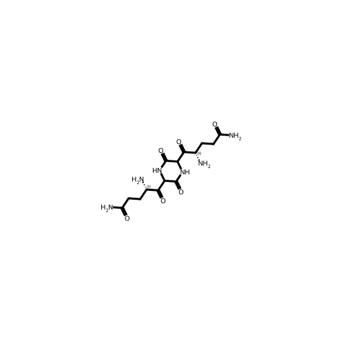 NC(=O)CC[C@H](N)C(=O)C1NC(=O)C(C(=O)[C@@H](N)CCC(N)=O)NC1=O